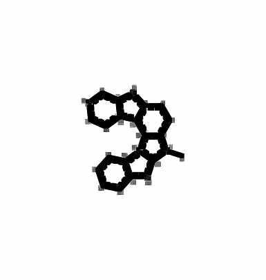 Cn1c2ccc3oc4cnccc4c3c2n2c3ccccc3nc12